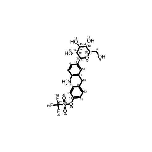 Nc1ccc([C@@H]2O[C@H](CO)[C@@H](O)[C@H](O)[C@H]2O)cc1Cc1ccc(OS(=O)(=O)C(F)(F)F)cc1